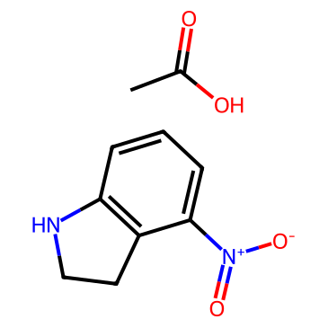 CC(=O)O.O=[N+]([O-])c1cccc2c1CCN2